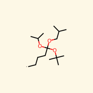 [CH2]CCCC(OCC(C)C)(OC(C)C)OC(C)(C)C